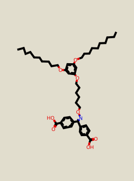 CCCCCCCCCCOc1cc(OCCCCCCCCCC)cc(OCCCCCCON=C(c2ccc(C(=O)O)cc2)c2ccc(C(=O)O)cc2)c1